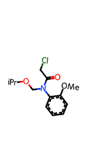 COc1ccccc1N(COC(C)C)C(=O)CCl